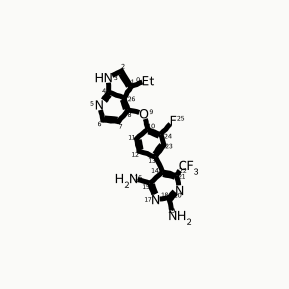 CCc1c[nH]c2nccc(Oc3ccc(-c4c(N)nc(N)nc4C(F)(F)F)cc3F)c12